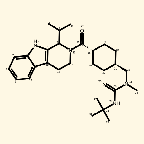 CC(C)C1c2[nH]c3ccccc3c2CCN1C(=O)[C@H]1CC[C@H](CN(C)C(=S)NC(C)(C)C)CC1